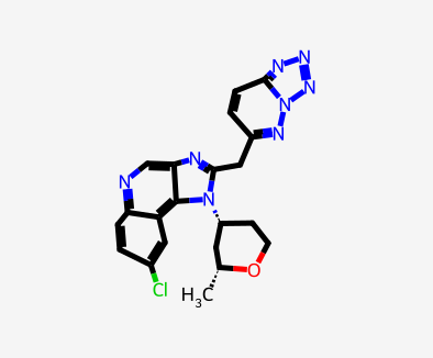 C[C@@H]1C[C@H](n2c(Cc3ccc4nnnn4n3)nc3cnc4ccc(Cl)cc4c32)CCO1